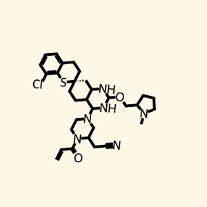 C=CC(=O)N1CCN(C2NC(OCC3CCCN3C)NC3C[C@]4(CCc5cccc(Cl)c5S4)CCC32)CC1CC#N